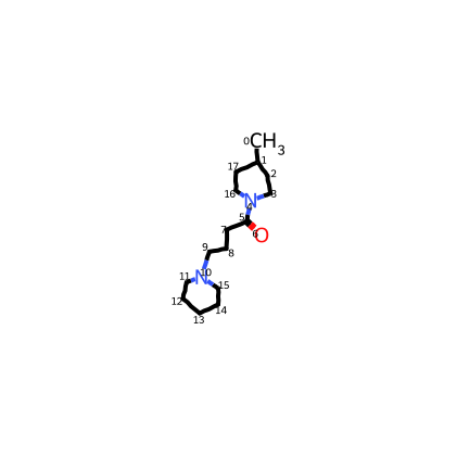 CC1CCN(C(=O)CCCN2CCCCC2)CC1